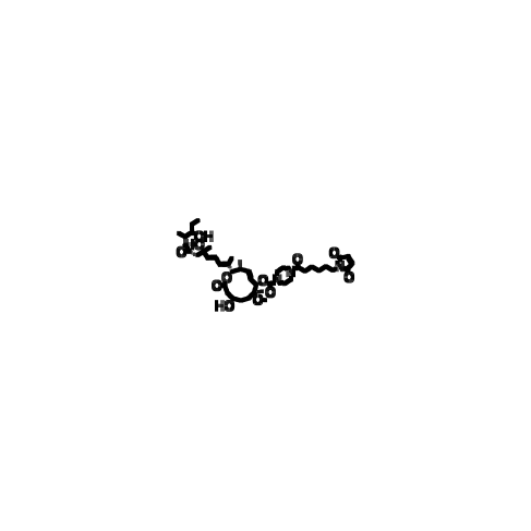 CCC(O)C(C)[C@@H]1O[C@H]1CC(C)(O)/C=C/C=C(\C)[C@H]1OC(=O)C[C@H](O)CC[C@@](C)(OC)[C@@H](OC(=O)N2CCN(C(=O)CCCCCN3C(=O)C=CC3=O)CC2)/C=C/[C@@H]1C